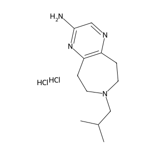 CC(C)CN1CCc2ncc(N)nc2CC1.Cl.Cl